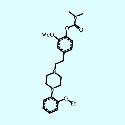 CCOc1ccccc1N1CCN(CCc2ccc(OC(=O)N(C)C)c(OC)c2)CC1